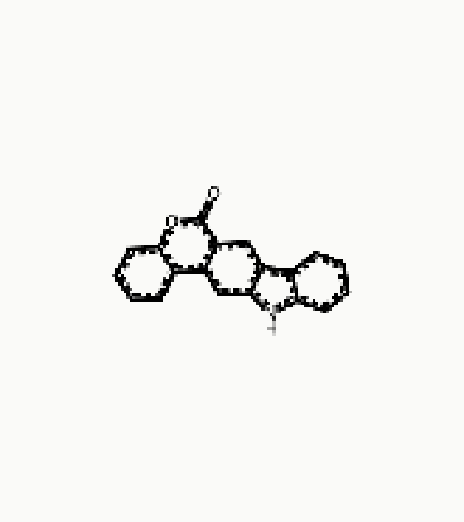 O=c1oc2ccccc2c2cc3[nH]c4ccccc4c3cc12